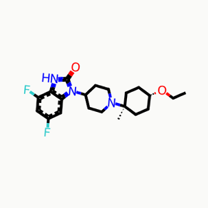 CCO[C@H]1CC[C@](C)(N2CCC(n3c(=O)[nH]c4c(F)cc(F)cc43)CC2)CC1